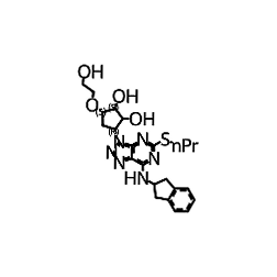 CCCSc1nc(NC2Cc3ccccc3C2)c2nnn([C@@H]3C[C@H](OCCO)[C@@H](O)C3O)c2n1